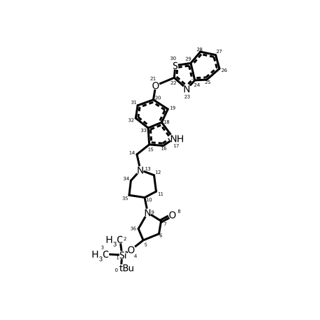 CC(C)(C)[Si](C)(C)OC1CC(=O)N(C2CCN(Cc3c[nH]c4cc(Oc5nc6ccccc6s5)ccc34)CC2)C1